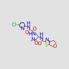 CN(C)C(=O)C(CNC(=O)C(=O)Nc1ccc(Cl)cn1)NC(=O)c1nc2c(s1)COCC2